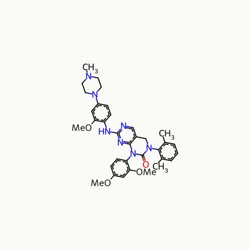 COc1ccc(N2C(=O)N(c3c(C)cccc3C)Cc3cnc(Nc4ccc(N5CCN(C)CC5)cc4OC)nc32)c(OC)c1